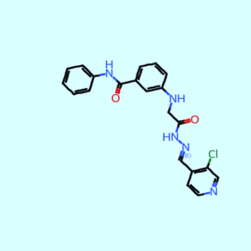 O=C(CNc1cccc(C(=O)Nc2ccccc2)c1)N/N=C/c1ccncc1Cl